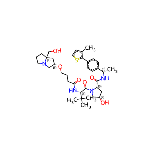 Cc1ccsc1-c1ccc([C@H](C)NC(=O)[C@@H]2C[C@@H](O)CN2C(=O)[C@@H](NC(=O)CCCO[C@@H]2CN3CCC[C@]3(CO)C2)C(C)(C)C)cc1